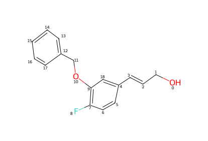 OC/C=C/c1ccc(F)c(OCc2ccccc2)c1